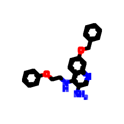 Nc1cnc2cc(OCc3ccccc3)ccc2c1NCCOc1ccccc1